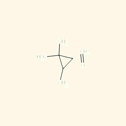 C=O.CC1CC1(C)C